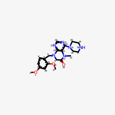 COc1ccc(CN2CC(=O)N(C)c3c(N4CCNCC4)ncnc32)c(OC)c1